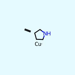 C1CCNC1.C=C.[Cu]